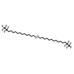 FC(F)(F)C(F)(F)CCCCCCCCCCCCSSCCCCCCCCCCCCC(F)(F)C(F)(F)F